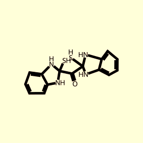 O=C(C1(S)Nc2ccccc2N1)C1(S)Nc2ccccc2N1